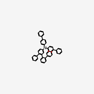 c1ccc(-c2ccc(N(c3ccc(-c4ccccc4)cc3)c3ccc(-c4ccccc4)c(-c4ccccc4-c4ccccc4)c3)cc2)cc1